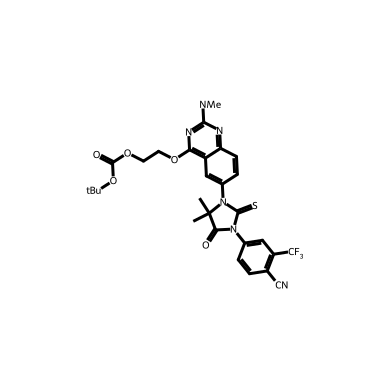 CNc1nc(OCCOC(=O)OC(C)(C)C)c2cc(N3C(=S)N(c4ccc(C#N)c(C(F)(F)F)c4)C(=O)C3(C)C)ccc2n1